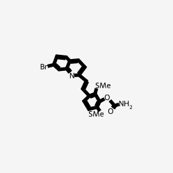 CSc1ccc(C=Cc2ccc3ccc(Br)cc3n2)c(SC)c1OC(N)=O